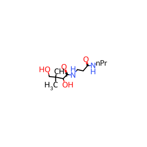 CCCNC(=O)CCNC(=O)C(O)C(C)(C)CO